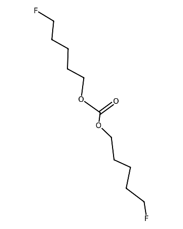 O=C(OCCCCCF)OCCCCCF